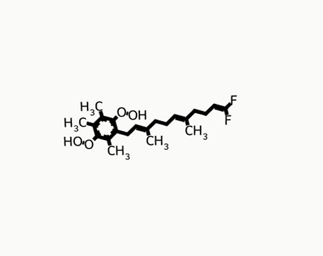 C/C(=C\CC/C(C)=C/Cc1c(C)c(OO)c(C)c(C)c1OO)CCC=C(F)F